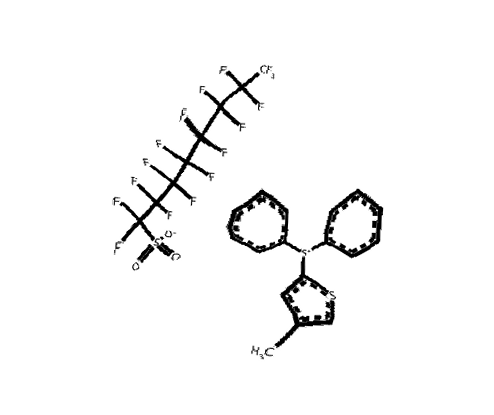 Cc1csc([S+](c2ccccc2)c2ccccc2)c1.O=S(=O)([O-])C(F)(F)C(F)(F)C(F)(F)C(F)(F)C(F)(F)C(F)(F)C(F)(F)C(F)(F)F